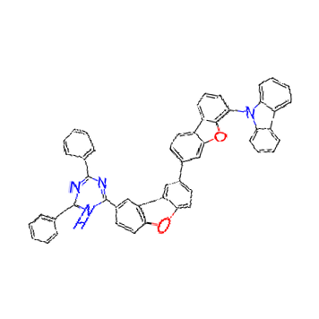 c1ccc(C2=NC(c3ccccc3)NC(c3ccc4oc5ccc(-c6ccc7c(c6)oc6c(-n8c9ccccc9c9ccccc98)cccc67)cc5c4c3)=N2)cc1